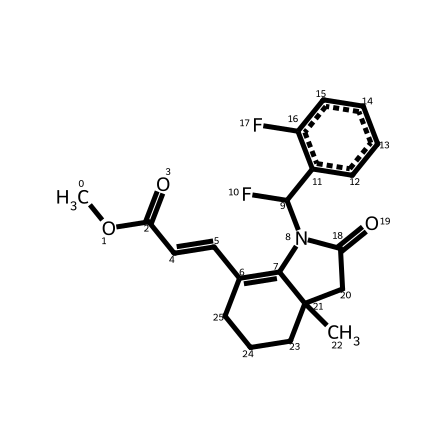 COC(=O)C=CC1=C2N(C(F)c3ccccc3F)C(=O)CC2(C)CCC1